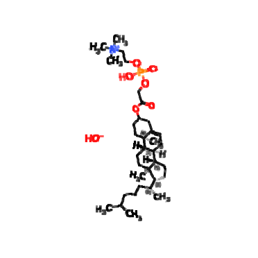 CC(C)CCC[C@@H](C)[C@H]1CC[C@H]2[C@@H]3CC=C4CC(OC(=O)COP(=O)(O)OCC[N+](C)(C)C)CC[C@]4(C)[C@H]3CC[C@]12C.[OH-]